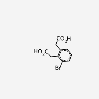 O=C(O)Cc1cccc(Br)c1CC(=O)O